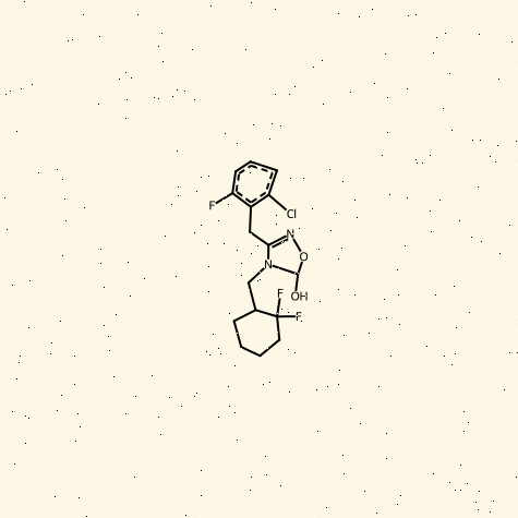 OC1ON=C(Cc2c(F)cccc2Cl)N1CC1CCCCC1(F)F